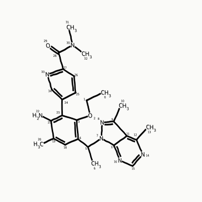 CCOc1c(C(C)n2nc(C)c3c(C)ncnc32)cc(C)c(N)c1-c1ccc(C(=O)N(C)C)nc1